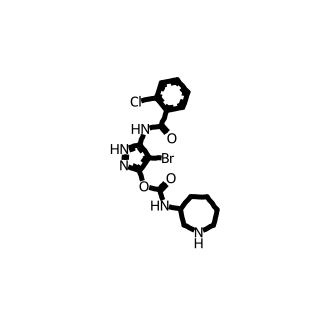 O=C(NC1CCCCNC1)Oc1n[nH]c(NC(=O)c2ccccc2Cl)c1Br